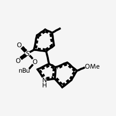 CCCCOS(=O)(=O)c1ccc(C)cc1-c1c[nH]c2ccc(OC)cc12